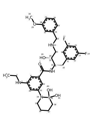 CCNc1cc(C(=O)N[C@@H](Cc2cc(F)cc(F)c2)[C@H](O)CNCc2cccc(OC)c2)cc(N2CCCCS2(O)O)c1